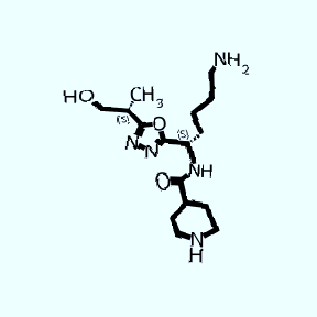 C[C@@H](CO)c1nnc([C@H](CCCCN)NC(=O)C2CCNCC2)o1